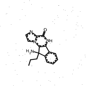 CCCC1(N)c2ccccc2-c2[nH]c(=O)c3nccn3c21